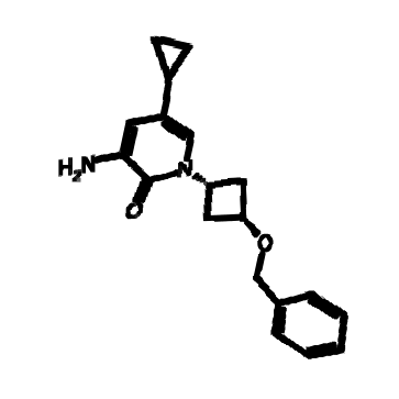 Nc1cc(C2CC2)cn([C@H]2C[C@H](OCc3ccccc3)C2)c1=O